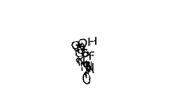 CCC(Oc1ccc(F)cc1C1CCCN1c1ccn2ncc(C=O)c2n1)N(C(=O)O)C(C)(C)C